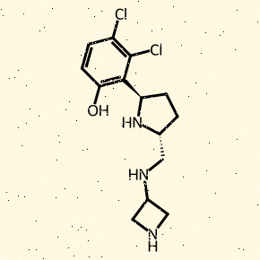 Oc1ccc(Cl)c(Cl)c1[C@H]1CC[C@H](CNC2CNC2)N1